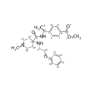 COC(=O)c1ccc([C@H](C)NC(=O)C2(NCCOc3ccccc3)CCN(C)CC2)cc1